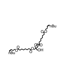 CCCC/C=C\CCOC(=O)CCCCCCC(=O)OCC(CO)(CO)COC(=O)CCCCCCC(=O)OCC/C=C\CCCC